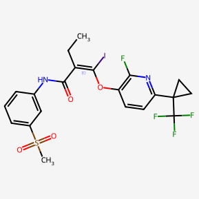 CC/C(C(=O)Nc1cccc(S(C)(=O)=O)c1)=C(\I)Oc1ccc(C2(C(F)(F)F)CC2)nc1F